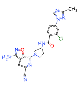 Cc1ncn(-c2ccc(C(=O)NC3CCN(c4nc(C#N)cc5c(N)noc45)C3)c(Cl)c2)n1